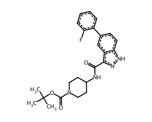 CC(C)(C)OC(=O)N1CCC(NC(=O)c2n[nH]c3ccc(-c4ccccc4F)cc23)CC1